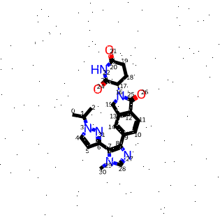 CC(C)n1ccc(-c2c(-c3ccc4c(c3)CN([C@H]3CCC(=O)NC3=O)C4=O)ncn2C)n1